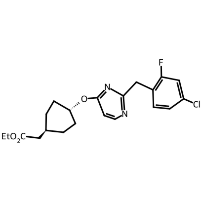 CCOC(=O)C[C@H]1CC[C@H](Oc2ccnc(Cc3ccc(Cl)cc3F)n2)CC1